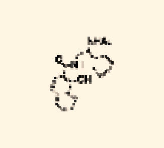 CC(=O)NC(CNC(=O)c1ccc2ccccc2c1O)c1ccccc1